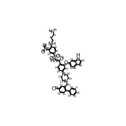 CN(C)CCCNc1ccc(S(=O)(=O)NC(=O)c2ccc(N3CCN(Cc4cc(Cl)ccc4-c4ccccc4)CC3)cc2Oc2ccc3cc[nH]c3c2)cc1[N+](=O)[O-]